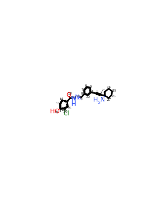 NC1(C#Cc2cccc(/C=N/NC(=O)c3ccc(O)c(Cl)c3)c2)CCCCC1